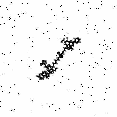 CC[C@H]1O[C@@H](n2cnc3c(/N=C\N(C)C)ncnc32)[C@@H](OC(=O)CCC(=O)O)C1OCCCCCCNC(=O)CCCCO[C@@H]1O[C@H](CC)[C@H](C)[C@H](OC(=O)c2ccccc2)[C@H]1NC(C)=O